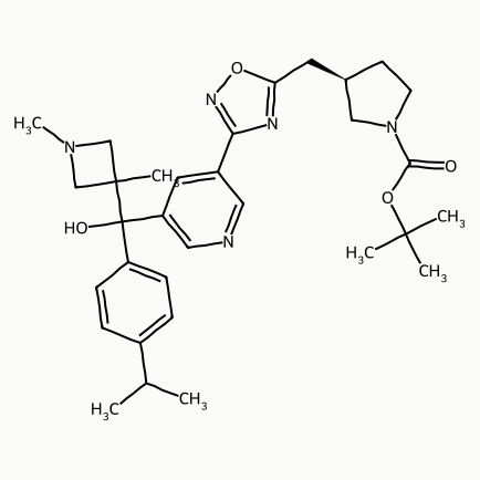 CC(C)c1ccc(C(O)(c2cncc(-c3noc(C[C@H]4CCN(C(=O)OC(C)(C)C)C4)n3)c2)C2(C)CN(C)C2)cc1